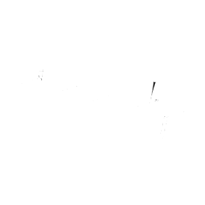 C=C(C)[C@H](C)CCCCCNC